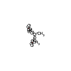 CCc1cc(OCC(=O)OC2(C)C3CC4CC(C3)CC2C4)cc(OCC(=O)OC2(C)C3CC4CC(C3)CC2C4)c1